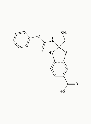 CCC1(NC(=O)Oc2ccccc2)Nc2ccc(C(=O)O)cc2S1